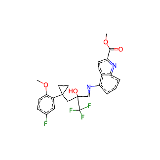 COC(=O)c1ccc2c(N=CC(O)(CC3(c4cc(F)ccc4OC)CC3)C(F)(F)F)cccc2n1